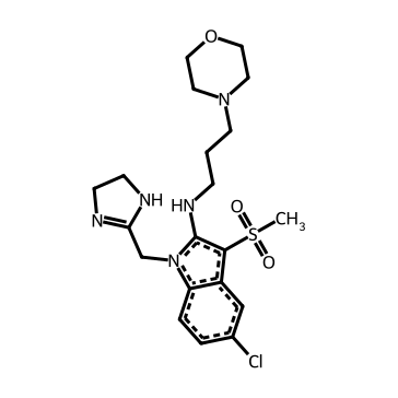 CS(=O)(=O)c1c(NCCCN2CCOCC2)n(CC2=NCCN2)c2ccc(Cl)cc12